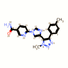 Cc1ccc(-c2nnn(C)c2-c2cn(-c3ccc(C(N)=O)cn3)cn2)cc1